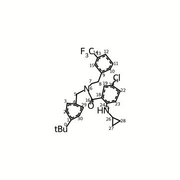 CC(C)(C)c1ccc(CN(CCc2cccc(C(F)(F)F)c2)C(=O)c2cc(Cl)ccc2NC2CC2)cc1